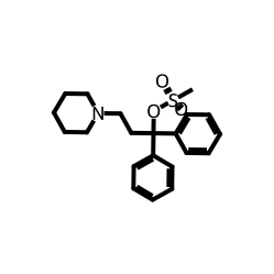 CS(=O)(=O)OC(CCN1CCCCC1)(c1ccccc1)c1ccccc1